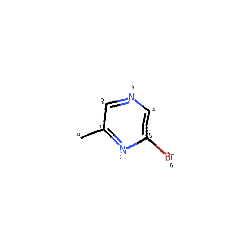 Cc1[c]ncc(Br)n1